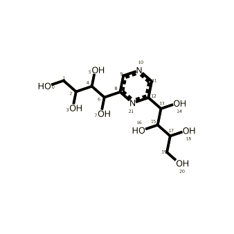 OCC(O)C(O)C(O)c1cncc(C(O)C(O)C(O)CO)n1